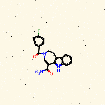 NC(=O)C1=CN(C(=O)c2ccc(F)cc2)CCc2c1[nH]c1ccccc21